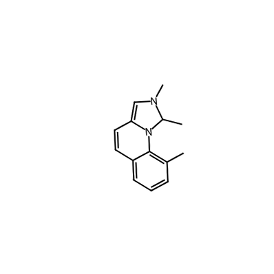 Cc1cccc2c1N1C(=CN(C)C1C)C=C2